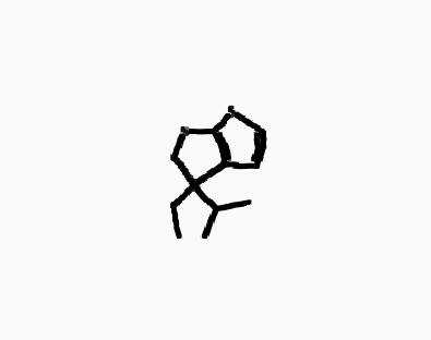 CCC1(C(C)C)CSc2sccc21